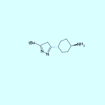 CC(C)(C)C1=NN=C([C@H]2CC[C@H](N)CC2)C1